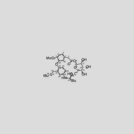 COc1ccc(CC(=O)O[C@@H]2O[C@@H](C(=O)O)[C@H](O)[C@@H](O)[C@@H]2O)cc1Oc1ccc(NC(=O)C(C)(C)C)cc1CSC(C)(C)C